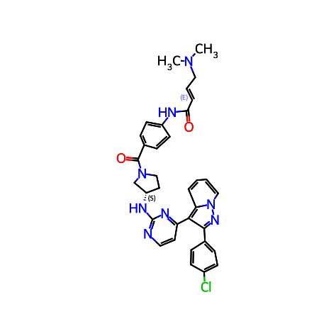 CN(C)C/C=C/C(=O)Nc1ccc(C(=O)N2CC[C@H](Nc3nccc(-c4c(-c5ccc(Cl)cc5)nn5ccccc45)n3)C2)cc1